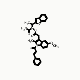 COc1ccc2c(c1)c(CC(=O)ON(C(N)=O)C(C)c1cc3ccccc3s1)c(C)n2C(=O)C=Cc1ccccc1